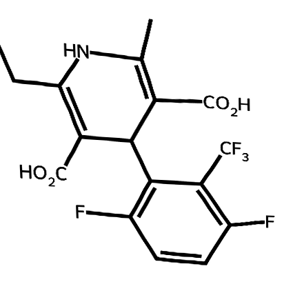 CC1=C(C(=O)O)C(c2c(F)ccc(F)c2C(F)(F)F)C(C(=O)O)=C(CF)N1